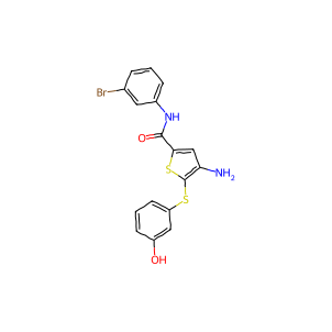 Nc1cc(C(=O)Nc2cccc(Br)c2)sc1Sc1cccc(O)c1